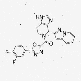 O=C(c1nnc(-c2ccc(F)c(F)c2)o1)N1CCc2[nH]cnc2[C@@H]1c1cc2ccccn2n1